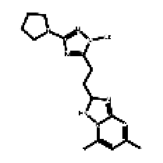 CCn1nc(N2CCCC2)nc1CCC1N=C2N=C(C)C=C(C)N2N1